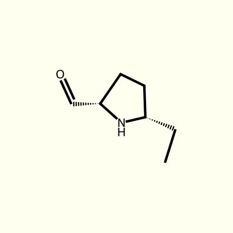 CC[C@H]1CC[C@@H](C=O)N1